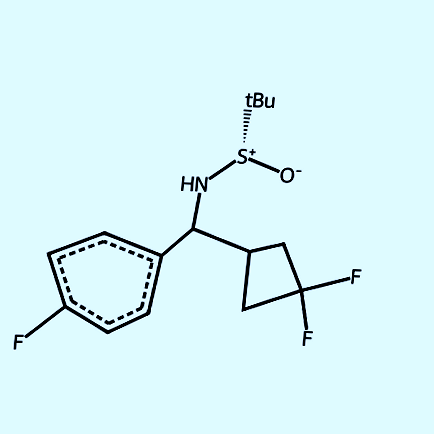 CC(C)(C)[S@+]([O-])NC(c1ccc(F)cc1)C1CC(F)(F)C1